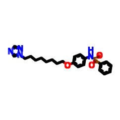 O=S(=O)(Nc1ccc(OCCCCCCCCn2cncn2)cc1)c1ccccc1